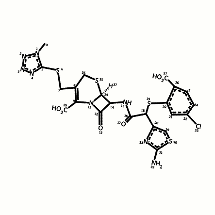 Cn1nnnc1SCC1=C(C(=O)O)N2C(=O)C(NC(=O)C(Sc3cc(Cl)ccc3C(=O)O)c3csc(N)n3)[C@@H]2SC1